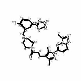 Cc1nn(-c2ccc3nnc(C)n3n2)c(C)c1CCC(=O)N1CCN(Cc2cc(-c3nnn[nH]3)ccc2F)CC1